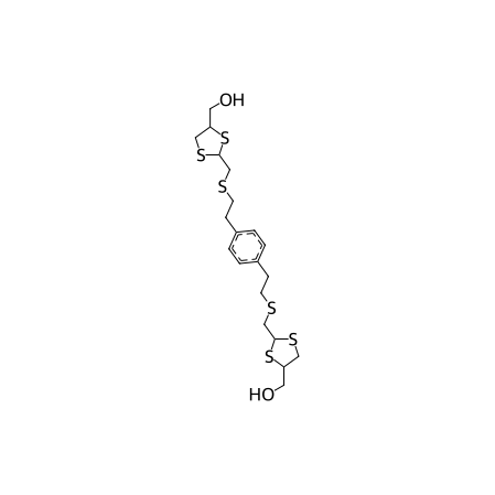 OCC1CSC(CSCCc2ccc(CCSCC3SCC(CO)S3)cc2)S1